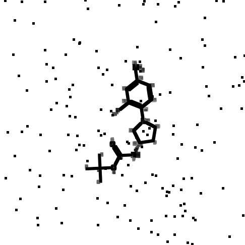 CC(C)(C)OC(=O)N[C@H]1CCN(c2ccc(N)cc2F)C1